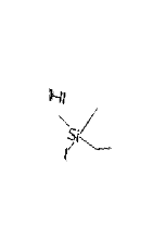 C[Si](C)(C)I.I